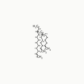 C=CCCCC.C=CCCCCCC.C=CCCCCCCCCCC